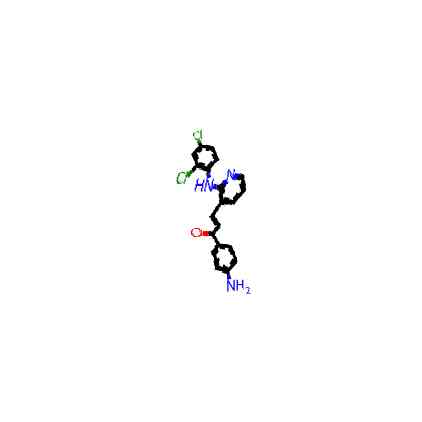 Nc1ccc(C(=O)/C=C/c2cccnc2Nc2ccc(Cl)cc2Cl)cc1